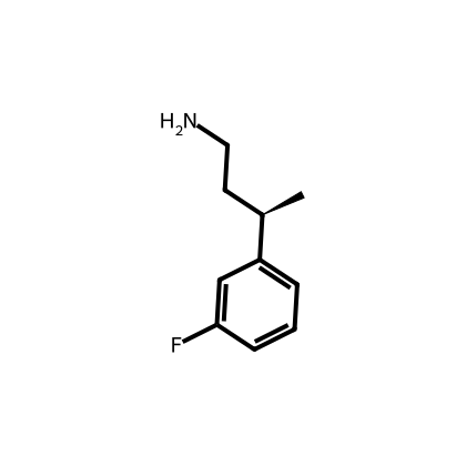 C[C@H](CCN)c1cccc(F)c1